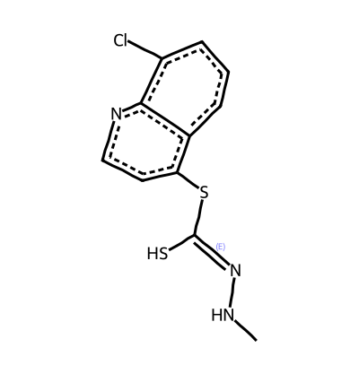 CN/N=C(\S)Sc1ccnc2c(Cl)cccc12